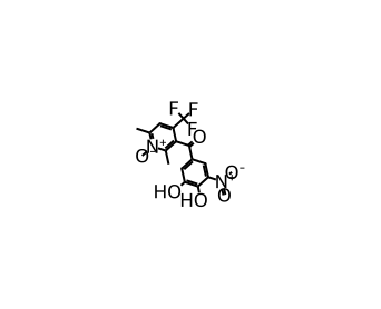 Cc1cc(C(F)(F)F)c(C(=O)c2cc(O)c(O)c([N+](=O)[O-])c2)c(C)[n+]1[O-]